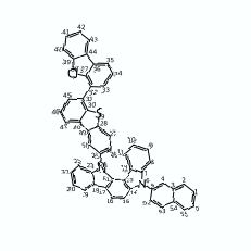 c1ccc2cc(-n3c4ccccc4c4c3ccc3c5ccccc5n(-c5ccc6sc7c(-c8cccc9c8oc8ccccc89)cccc7c6c5)c34)ccc2c1